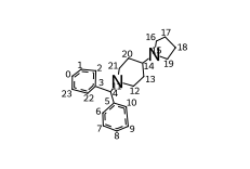 c1ccc(C(c2ccccc2)N2CCC(N3CCCC3)CC2)cc1